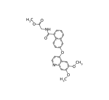 COC(=O)CNC(=O)c1cccc2cc(Oc3ccnc4cc(OC)c(OC)cc34)ccc12